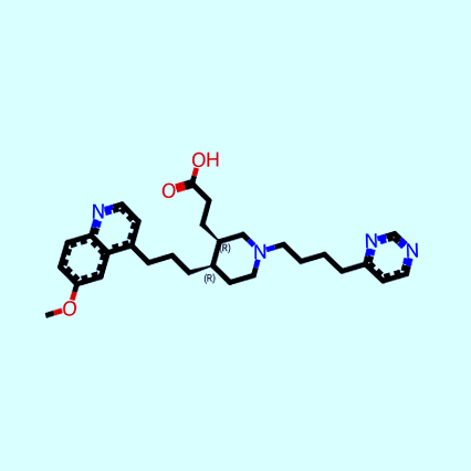 COc1ccc2nccc(CCC[C@@H]3CCN(CCCCc4ccncn4)C[C@@H]3CCC(=O)O)c2c1